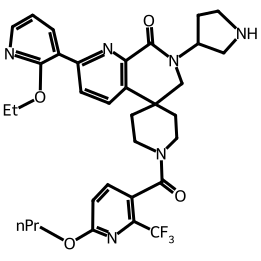 CCCOc1ccc(C(=O)N2CCC3(CC2)CN(C2CCNC2)C(=O)c2nc(-c4cccnc4OCC)ccc23)c(C(F)(F)F)n1